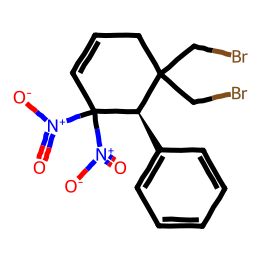 O=[N+]([O-])C1([N+](=O)[O-])C=CCC(CBr)(CBr)[C@H]1c1ccccc1